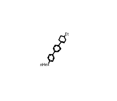 CCCCCCc1ccc(-c2ccc(C3=CCC(CC)CC3)cc2)cc1